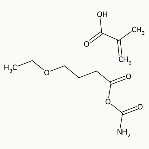 C=C(C)C(=O)O.CCOCCCC(=O)OC(N)=O